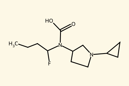 CCCC(F)N(C(=O)O)C1CCN(C2CC2)C1